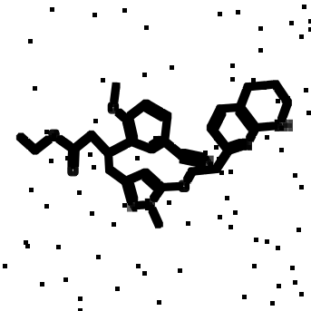 CCOC(=O)CC(Cc1cc(OCCc2ccc3c(n2)NCCC3)n(C)n1)c1cc(C#N)ccc1OC